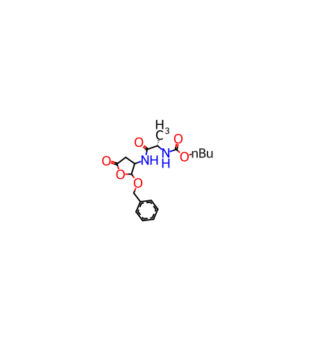 CCCCOC(=O)N[C@@H](C)C(=O)NC1CC(=O)OC1OCc1ccccc1